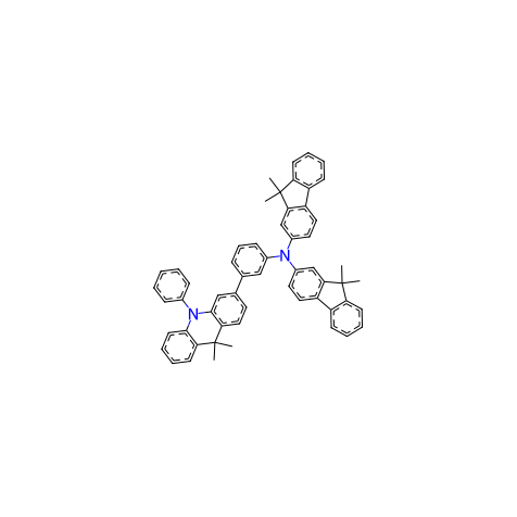 CC1(C)c2ccccc2-c2ccc(N(c3cccc(-c4ccc5c(c4)N(c4ccccc4)c4ccccc4C5(C)C)c3)c3ccc4c(c3)C(C)(C)c3ccccc3-4)cc21